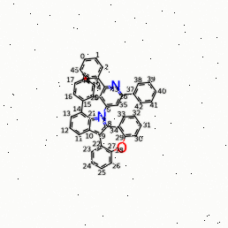 c1ccc(-c2cc(-n3c4c(c5cccc(-c6ccccc6)c53)-c3ccccc3Oc3ccccc3-4)cc(-c3ccccc3)n2)cc1